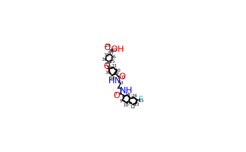 O=C(NCCNC(=O)c1ccc2ccc(F)cc2c1)c1ccc(O[C@H]2CC[C@@H](C(=O)O)CC2)cc1